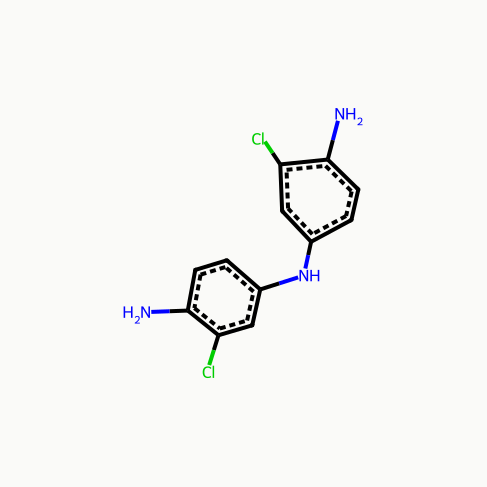 Nc1ccc(Nc2ccc(N)c(Cl)c2)cc1Cl